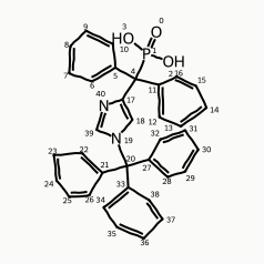 O=P(O)(O)C(c1ccccc1)(c1ccccc1)c1cn(C(c2ccccc2)(c2ccccc2)c2ccccc2)cn1